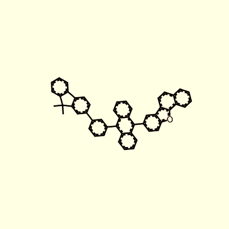 CC1(C)c2ccccc2-c2ccc(-c3cccc(-c4c5ccccc5c(-c5ccc6oc7c8ccccc8ccc7c6c5)c5ccccc45)c3)cc21